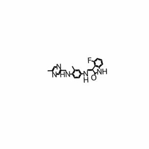 Cc1cnc(CNc2ccc(NC=C3C(=O)Nc4cccc(F)c43)cc2C)cn1